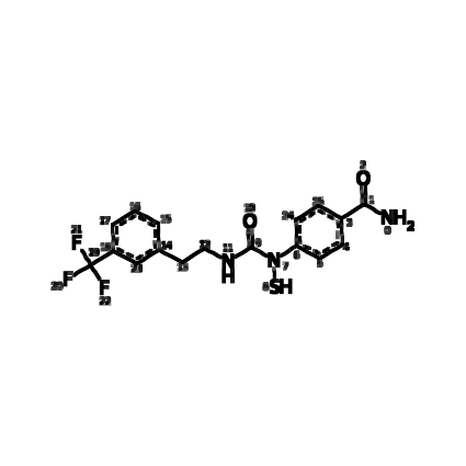 NC(=O)c1ccc(N(S)C(=O)NCCc2cccc(C(F)(F)F)c2)cc1